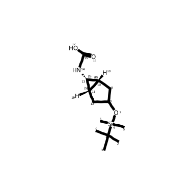 CC(C)(C)[Si](C)(C)OC1C[C@@H]2[C@H](C1)[C@@H]2NC(=O)O